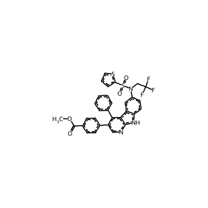 COC(=O)c1ccc(-c2cnc3[nH]c4ccc(N(CC(F)(F)F)S(=O)(=O)c5cccs5)cc4c3c2-c2ccccc2)cc1